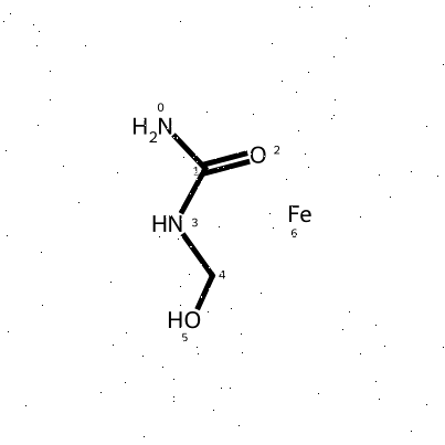 NC(=O)NCO.[Fe]